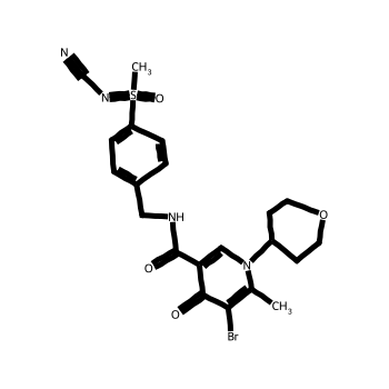 Cc1c(Br)c(=O)c(C(=O)NCc2ccc(S(C)(=O)=NC#N)cc2)cn1C1CCOCC1